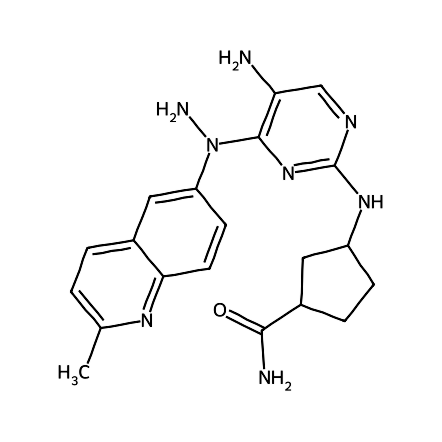 Cc1ccc2cc(N(N)c3nc(NC4CCC(C(N)=O)C4)ncc3N)ccc2n1